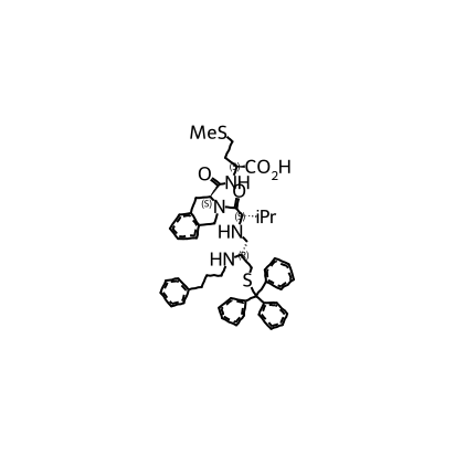 CSCC[C@H](NC(=O)[C@@H]1Cc2ccccc2CN1C(=O)[C@@H](NC[C@H](CSC(c1ccccc1)(c1ccccc1)c1ccccc1)NCCCc1ccccc1)C(C)C)C(=O)O